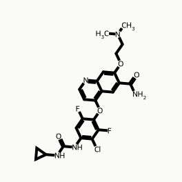 CN(C)CCOc1cc2nccc(Oc3c(F)cc(NC(=O)NC4CC4)c(Cl)c3F)c2cc1C(N)=O